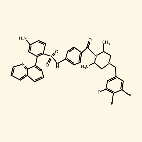 CC1CN(Cc2cc(F)c(F)c(F)c2)CC(C)N1C(=O)c1ccc(NS(=O)(=O)c2ccc(N)cc2-c2cccc3cccnc23)cc1